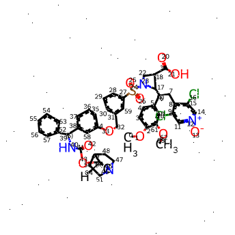 COc1ccc([C@H](Cc2c(Cl)c[n+]([O-])cc2Cl)C2C(C(=O)O)CN2S(=O)(=O)c2cccc(COc3cccc([C@@H](NC(=O)O[C@H]4CN5CCC4CC5)c4ccccc4)c3)c2)cc1OC